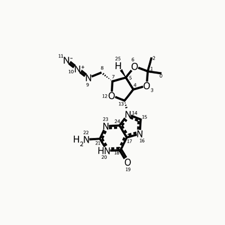 CC1(C)OC2[C@@H](O1)[C@@H](CN=[N+]=[N-])O[C@H]2n1cnc2c(=O)[nH]c(N)nc21